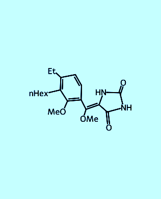 CCCCCCc1c(CC)ccc(C(OC)=C2NC(=O)NC2=O)c1OC